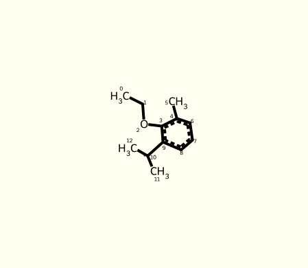 CCOc1c(C)cccc1[C](C)C